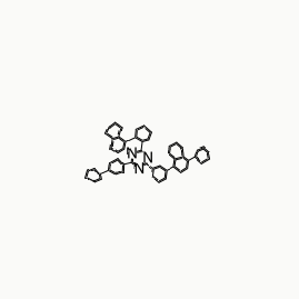 c1ccc(-c2ccc(-c3nc(-c4cccc(-c5ccc(-c6ccccc6)c6ccccc56)c4)nc(-c4ccccc4-c4cccc5ccccc45)n3)cc2)cc1